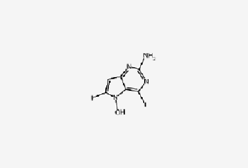 Nc1nc(I)c2c(cc(I)n2O)n1